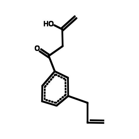 C=CCc1cccc(C(=O)CC(=C)O)c1